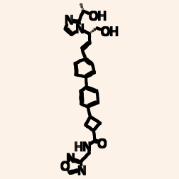 C[C@H](O)c1nccn1[C@@H](/C=C/c1ccc(-c2ccc(C3CC(C(=O)NCc4ncon4)C3)cc2)cc1)CO